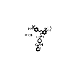 Cc1nc2c(CCc3ccc(C(=N)N)cc3)c(OC(=O)NN3CCC(NC(=O)c4ccccn4)CC3)ccc2[nH]1.Cl.Cl